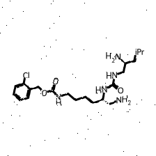 CC(C)C[C@H](N)CNC(=O)N[C@H](CN)CCCCNC(=O)OCc1ccccc1Cl